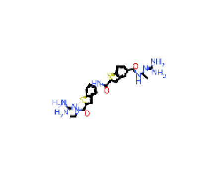 CCN(N=C(N)N)C(=O)c1cc2cc(NC(=O)c3cc4cc(C(=O)NC(C)N=C(N)N)ccc4s3)ccc2s1